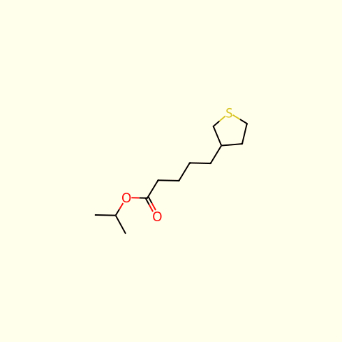 CC(C)OC(=O)CCCCC1CCSC1